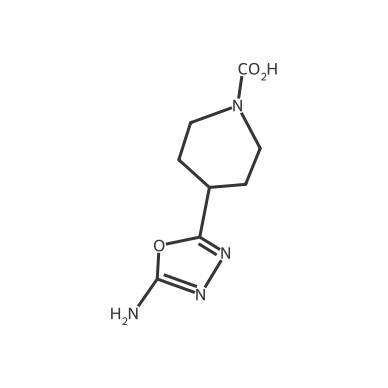 Nc1nnc(C2CCN(C(=O)O)CC2)o1